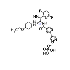 CCO[C@H]1CC[C@H](N/C=C(/NC(=O)c2csc(-c3cnn(COP(=O)(O)O)c3)n2)C(=N)c2nc(F)ccc2F)CC1